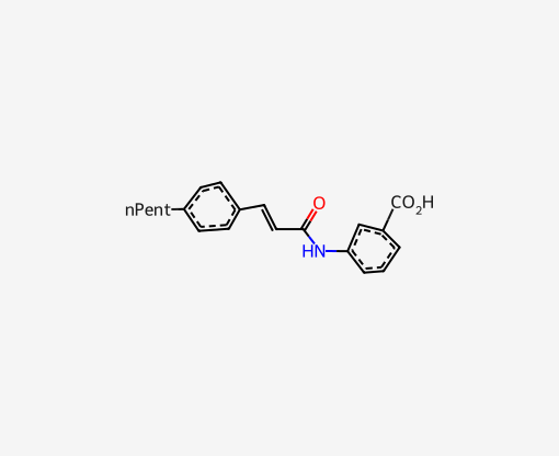 CCCCCc1ccc(C=CC(=O)Nc2cccc(C(=O)O)c2)cc1